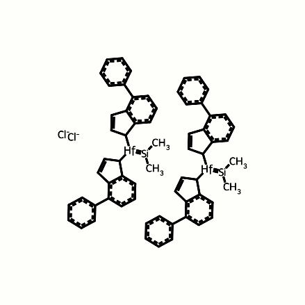 C[Si](C)=[Hf]([CH]1C=Cc2c(-c3ccccc3)cccc21)[CH]1C=Cc2c(-c3ccccc3)cccc21.C[Si](C)=[Hf]([CH]1C=Cc2c(-c3ccccc3)cccc21)[CH]1C=Cc2c(-c3ccccc3)cccc21.[Cl-].[Cl-]